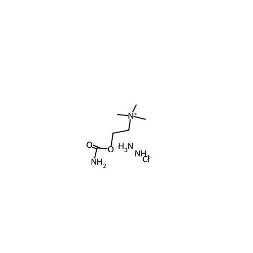 C[N+](C)(C)CCOC(N)=O.N.N.[Cl-]